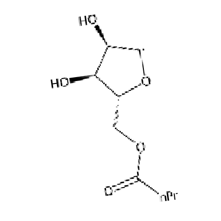 CCCC(=O)OC[C@H]1O[CH][C@H](O)[C@@H]1O